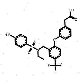 Bc1ccc(S(=O)(=O)N(CC)Cc2cc(C(F)(F)F)ccc2Oc2cccc(CC(=O)O)c2)cc1